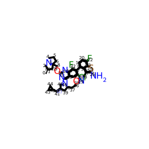 C[C@H]1CN2CCCC2(COc2nc3c4c(c(Cl)c(-c5ccc(F)c6sc(N)c(C#N)c56)c(F)c4n2)OCCC2C/C(=C/C4CC4)CN32)C1